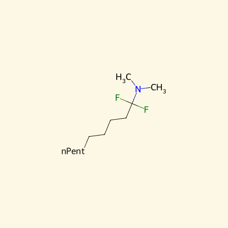 CCCCCCCCCC(F)(F)N(C)C